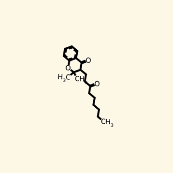 CCCCCCC(=O)CCC1C(=O)c2ccccc2OC1(C)C